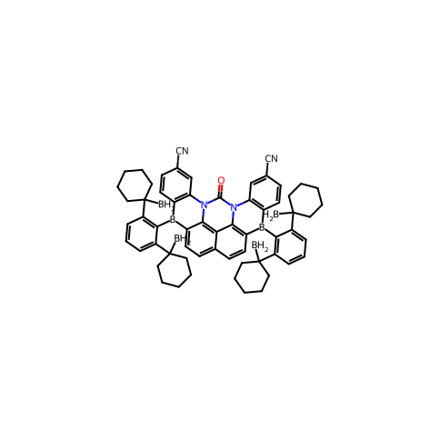 BC1(c2cccc(C3(B)CCCCC3)c2B2c3ccc(C#N)cc3N3C(=O)N4c5cc(C#N)ccc5B(c5c(C6(B)CCCCC6)cccc5C5(B)CCCCC5)c5ccc6ccc2c3c6c54)CCCCC1